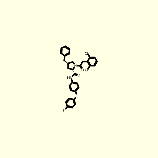 O=C(Nc1ccc(Oc2ccc(F)cc2)cc1)[C@@H]1C[C@@H](Cc2ccccc2)CN1C(=O)Cc1c(Cl)cccc1Cl